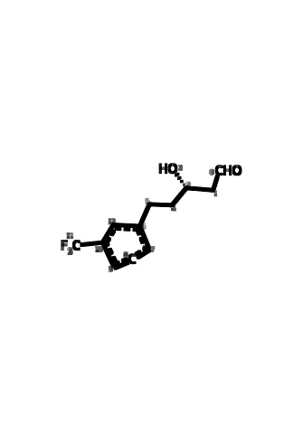 O=CC[C@@H](O)CCc1cccc(C(F)(F)F)c1